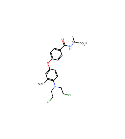 COc1cc(Oc2ccc(C(=O)N[C@@H](C)C(=O)O)cc2)ccc1N(CCCl)CCCl